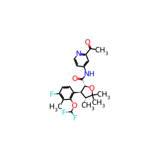 CC(=O)c1cc(NC(=O)[C@@H]2OC(C)(C)[C@H](C)[C@H]2c2ccc(F)c(C)c2OC(F)F)ccn1